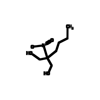 CCCCC(CO)(CO)[N+](=O)[O-]